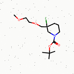 COCCOCC1(F)CCCN(C(=O)OC(C)(C)C)C1